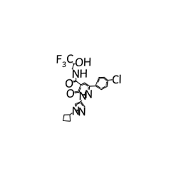 O=C(NCC(O)C(F)(F)F)c1cc(-c2ccc(Cl)cc2)nn(-c2cnn(C3CCC3)c2)c1=O